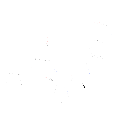 CC(=O)Nc1ccc(C(=O)N[C@@H](C)C(=O)N2CC(F)(F)C[C@H]2C(=O)NC2CC(=O)O[C@H]2OCC2CCCC2)cc1Cl